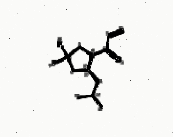 C=CC(=O)N1CC(F)(F)C[C@@H]1CC(C)C